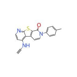 C#CNc1ccnc2sc3c(=O)n(-c4ccc(C)cc4)ccc3c12